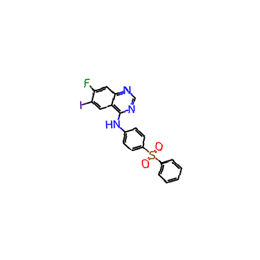 O=S(=O)(c1ccccc1)c1ccc(Nc2ncnc3cc(F)c(I)cc23)cc1